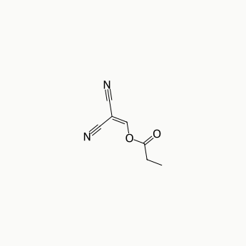 CCC(=O)OC=C(C#N)C#N